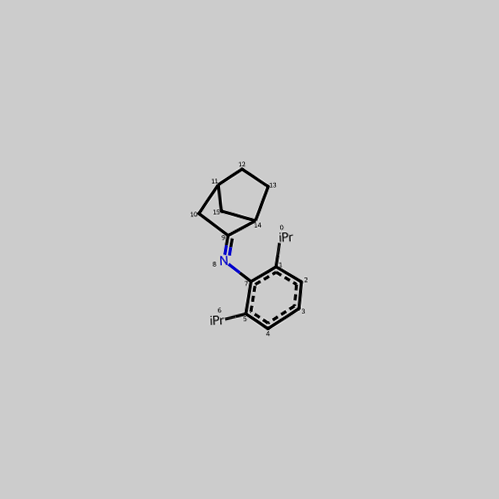 CC(C)c1cccc(C(C)C)c1/N=C1/CC2CCC1C2